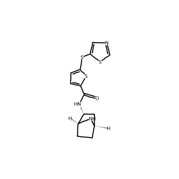 O=C(N[C@@H]1C[C@H]2CC[C@@H]1N2)c1ccc(Sc2cncs2)s1